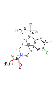 Cc1cc2c(cc1Cl)C1(CCN(C(=O)OC(C)(C)C)CC1)C[C@@H]2C(C)(C)C(=O)O